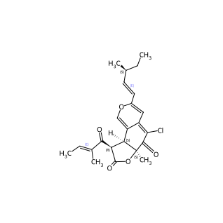 C/C=C(\C)C(=O)[C@@H]1C(=O)O[C@]2(C)C(=O)C(Cl)=C3C=C(/C=C/[C@@H](C)CC)OC=C3[C@H]12